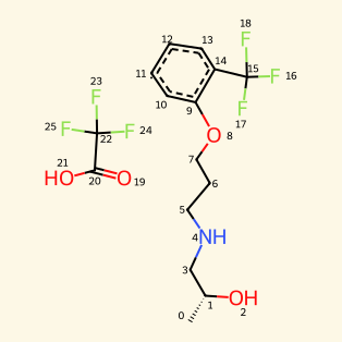 C[C@@H](O)CNCCCOc1c[c]ccc1C(F)(F)F.O=C(O)C(F)(F)F